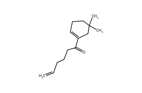 C=CCCCC(=O)C1=CCCC(C)(C)C1